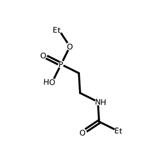 CCOP(=O)(O)CCNC(=O)CC